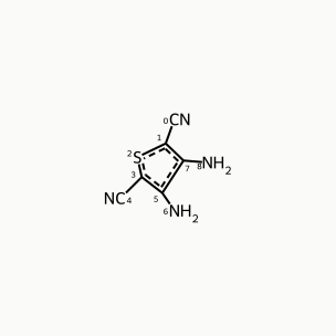 N#Cc1sc(C#N)c(N)c1N